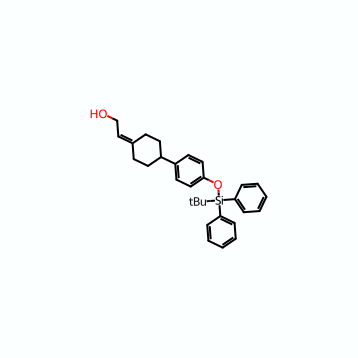 CC(C)(C)[Si](Oc1ccc(C2CCC(=CCO)CC2)cc1)(c1ccccc1)c1ccccc1